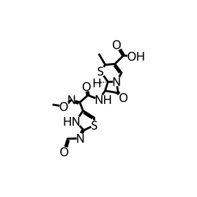 CO/N=C(/C(=O)NC1C(=O)N2C=C(C(=O)O)C(C)S[C@H]12)c1cs/c(=N/C=O)[nH]1